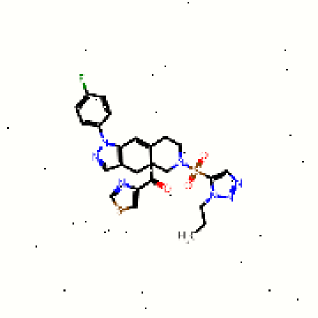 CCCn1nncc1S(=O)(=O)N1CCC2=Cc3c(cnn3-c3ccc(F)cc3)CC2(C(=O)c2cscn2)C1